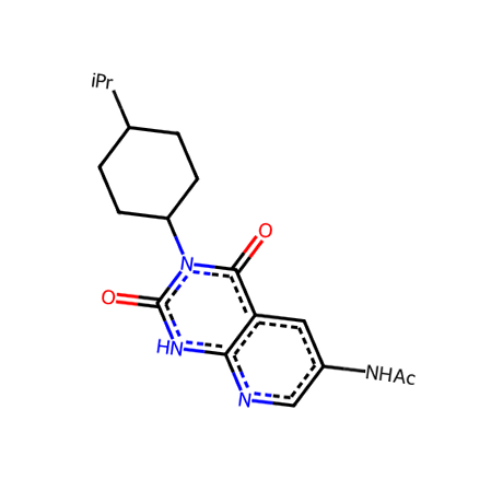 CC(=O)Nc1cnc2[nH]c(=O)n(C3CCC(C(C)C)CC3)c(=O)c2c1